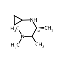 CC([C@H](C)NC1CC1)N(C)C